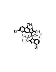 CC1=Cc2c(Br)cccc2C1C(C)(C)c1c(C)cc2c(C)c3ccc(Br)[nH]c3cc12